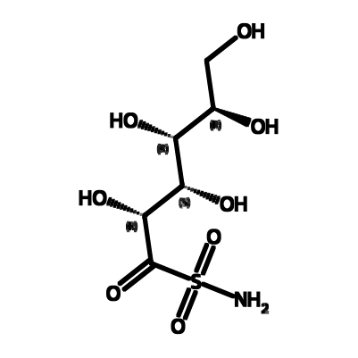 NS(=O)(=O)C(=O)[C@H](O)[C@@H](O)[C@H](O)[C@H](O)CO